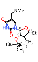 CC[C@H]1O[C@@H](n2cc(CNC)c(=O)[nH]c2=O)[C@@H](O[Si](C)(C)C(C)(C)C)C1C